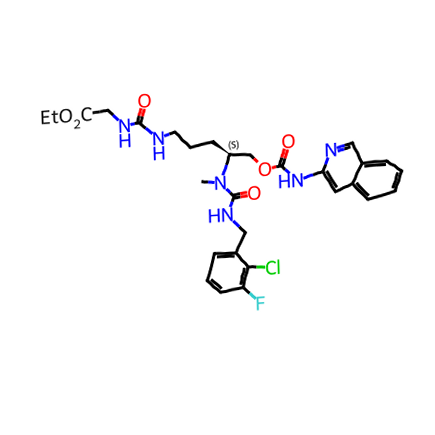 CCOC(=O)CNC(=O)NCCC[C@@H](COC(=O)Nc1cc2ccccc2cn1)N(C)C(=O)NCc1cccc(F)c1Cl